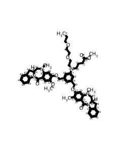 CCCOCCOCCN(CCCC(=O)OC)c1cc(COc2cc3c(cc2C)C(=O)N2c4ccccc4C[C@H]2CN3C)cc(COc2cc3c(cc2OC)C(=O)N2c4ccccc4C[C@H]2CN3C)c1